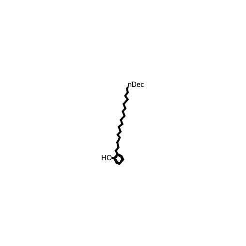 CCCCCCCCCCCCCCCCCCCCCCCCCCCc1ccccc1O